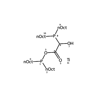 CCCCCCCCP(CCCCCCCC)OC(=O)C(O)P(CCCCCCCC)CCCCCCCC.[Ti]